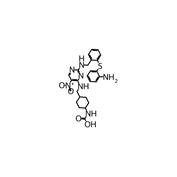 Nc1ccccc1Sc1ccccc1CNc1ncc([N+](=O)[O-])c(NCC2CCC(NC(=O)O)CC2)n1